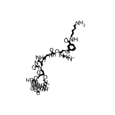 [N-]=[N+]=NCOC1CC(n2cc(C#CCNC(=O)COC(COc3cccc(C(=O)NCCCCCN)c3)N=[N+]=[N-])c(N)nc2=O)OC1COP(=O)(O)OP(=O)(O)OP(=O)(O)O